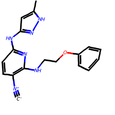 [C-]#[N+]c1ccc(Nc2cc(C)[nH]n2)nc1NCCOc1ccccc1